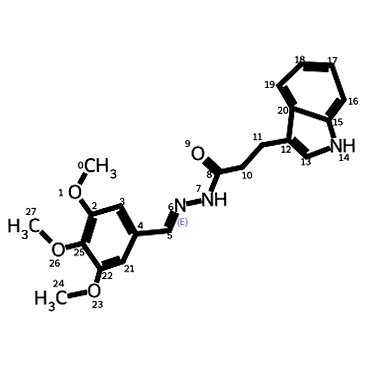 COc1cc(/C=N/NC(=O)CCc2c[nH]c3ccccc23)cc(OC)c1OC